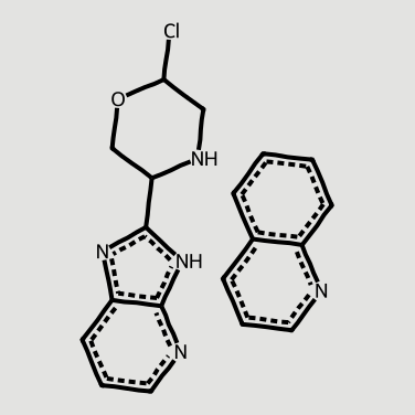 ClC1CNC(c2nc3cccnc3[nH]2)CO1.c1ccc2ncccc2c1